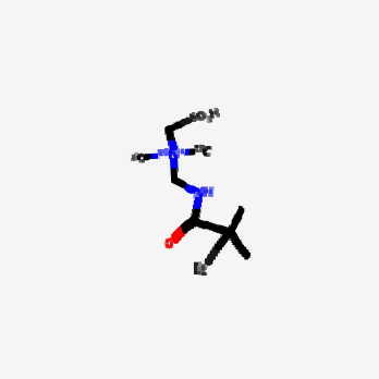 CCC(C)(C)C(=O)NC[15N+]([13CH3])([13CH3])CS(=O)(=O)O